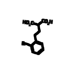 O=C(O)C(CCc1ccccc1Br)C(=O)O